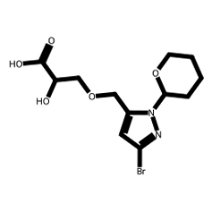 O=C(O)C(O)COCc1cc(Br)nn1C1CCCCO1